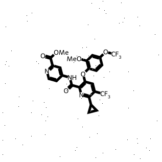 COC(=O)c1cc(NC(=O)c2nc(C3CC3)c(C(F)(F)F)cc2Oc2ccc(OC(F)(F)F)cc2OC)ccn1